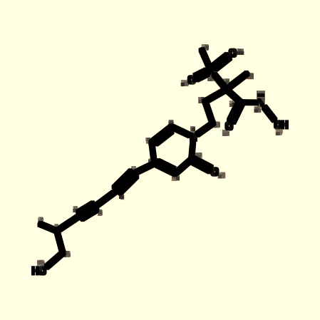 CC(C#CC#Cc1ccn(CCC(C)(C(=O)NO)S(C)(=O)=O)c(=O)c1)CO